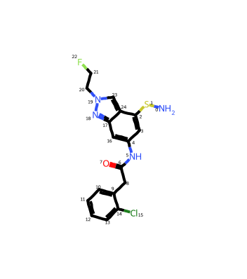 NSc1cc(NC(=O)Cc2ccccc2Cl)cc2nn(CCF)cc12